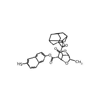 CC1OC2C(C(=O)Oc3ccc4cc(S)ccc4c3)C(=O)OC1C2OC(=O)C12CC3CC(C1)C(=O)C(C3)C2